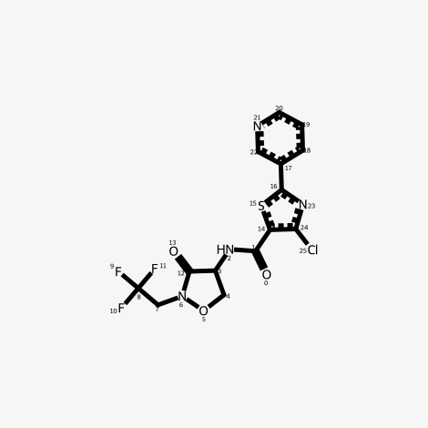 O=C(NC1CON(CC(F)(F)F)C1=O)c1sc(-c2cccnc2)nc1Cl